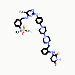 CN(c1cccc(CNc2nc(Nc3ccc(N4CCC(N5CCN(Cc6ccccc6NC6CCC(=O)NC6=O)CC5)CC4)cc3)ncc2C(F)(F)F)c1)S(C)(=O)=O